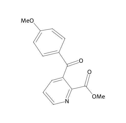 COC(=O)c1ncccc1C(=O)c1ccc(OC)cc1